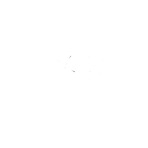 CC(C)N1C(=O)O[C@H](c2cc(C(F)(F)F)cc(C(F)(F)F)c2)[C@@H]1C